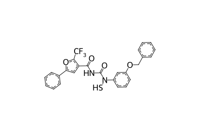 O=C(NC(=O)N(S)c1cccc(OCc2ccccc2)c1)c1cc(-c2ccccc2)oc1C(F)(F)F